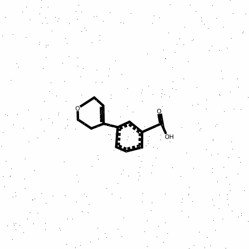 O=C(O)c1cccc(C2=CCOCC2)c1